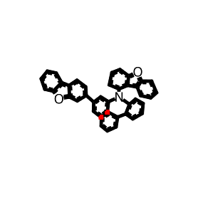 c1ccc(-c2ccccc2N(c2cccc(-c3ccc4c(c3)oc3ccccc34)c2)c2cccc3oc4ccccc4c23)cc1